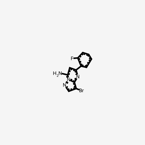 Nc1cc(-c2ccccc2F)nc2c(Br)cnn12